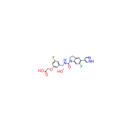 O=C(O)COc1cc(F)cc([C@@H](CO)NC(=O)N2CCc3cc(-c4cn[nH]c4)c(F)cc32)c1